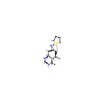 Cc1cc(N=S2(=O)CCCC2)cc2ncnc(C)c12